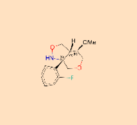 CO[C@H]1COC[C@]2(c3ccccc3F)NOC[C@H]12